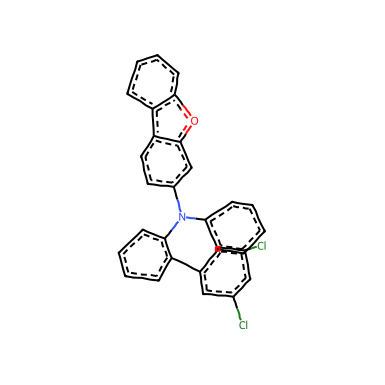 Clc1cc(Cl)cc(-c2ccccc2N(c2ccccc2)c2ccc3c(c2)oc2ccccc23)c1